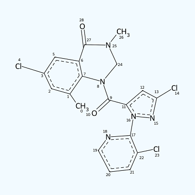 Cc1cc(Cl)cc2c1N(C(=O)c1cc(Cl)nn1-c1ncccc1Cl)CN(C)C2=O